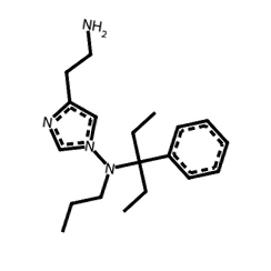 CCCN(n1cnc(CCN)c1)C(CC)(CC)c1ccccc1